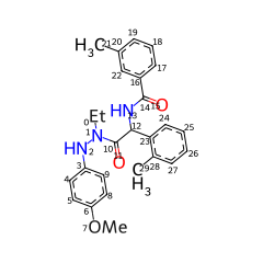 CCN(Nc1ccc(OC)cc1)C(=O)C(NC(=O)c1cccc(C)c1)c1ccccc1C